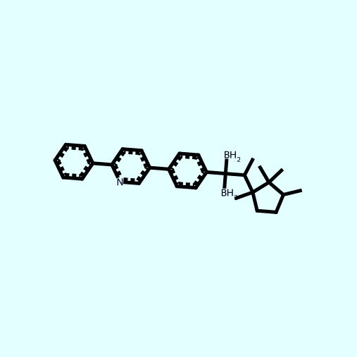 BC(B)(c1ccc(-c2ccc(-c3ccccc3)nc2)cc1)C(C)C1(C)CCC(C)C1(C)C